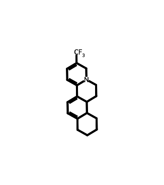 FC(F)(F)C1=CC=C2C3=CC=C4CCCCC4C3CCN2C1